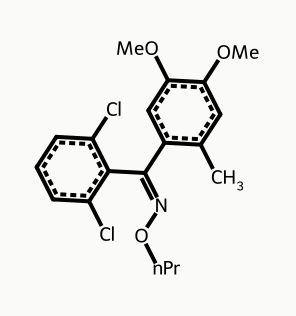 CCCON=C(c1cc(OC)c(OC)cc1C)c1c(Cl)cccc1Cl